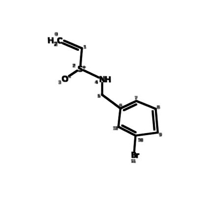 C=C[S+]([O-])NCc1cccc(Br)c1